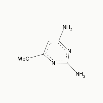 COc1cc(N)nc(N)n1